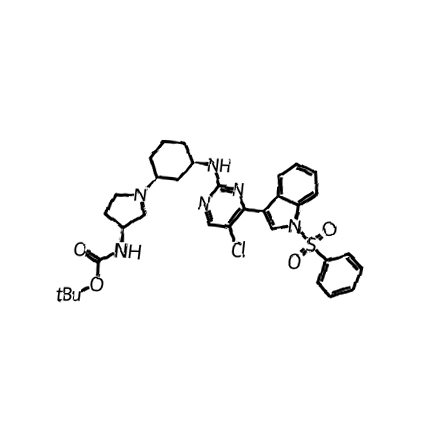 CC(C)(C)OC(=O)N[C@H]1CCN([C@H]2CCC[C@@H](Nc3ncc(Cl)c(-c4cn(S(=O)(=O)c5ccccc5)c5ccccc45)n3)C2)C1